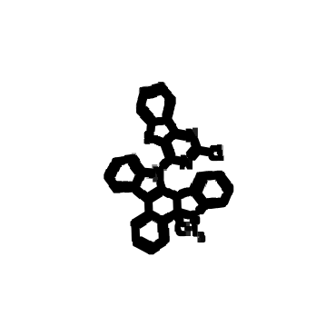 CC12Sc3ccccc3C1c1c(c3ccccc3n1-c1nc(Cl)nc3c1sc1ccccc13)-c1ccccc12